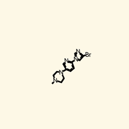 CN1CCN(c2ccc(-n3cnc(Br)c3)nc2)CC1